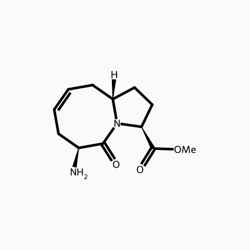 COC(=O)[C@@H]1CC[C@H]2CC=CC[C@H](N)C(=O)N21